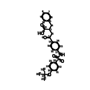 O=C(CC(Cc1ccccc1)C(=O)O)c1ccc(NS(=O)(=O)c2ccc(OC(F)(F)F)cc2)cc1